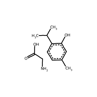 Cc1ccc(C(C)C)c(O)c1.NCC(=O)O